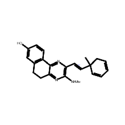 CC(=O)Nc1nc2c(nc1/C=C/C1(C)C=CC=CC1)-c1ccc(O)cc1CC2